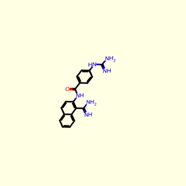 N=C(N)Nc1ccc(C(=O)Nc2ccc3ccccc3c2C(=N)N)cc1